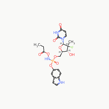 CCC(=O)ONP(=O)(OC[C@H]1O[C@@H](n2ccc(=O)[nH]c2=O)[C@](C)(F)[C@@H]1O)Oc1ccc2[nH]ccc2c1